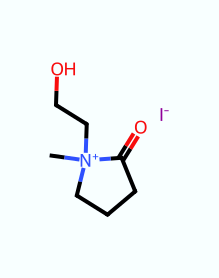 C[N+]1(CCO)CCCC1=O.[I-]